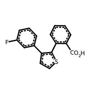 O=C(O)c1ccccc1-c1sccc1-c1cccc(F)c1